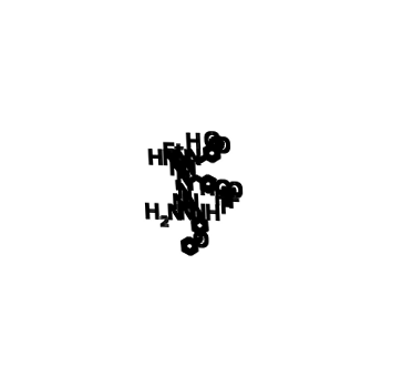 CCNc1nc(NCc2ccc3c(c2)OCO3)nc(N2CCN(c3nc(N)nc(Nc4ccc(Oc5ccccc5)cc4)n3)CC2Cc2ccccc2)n1.O=C(O)C(F)(F)F